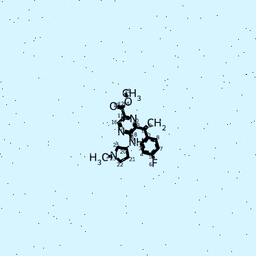 C=C(c1ccc(F)cc1)c1nc(C(=O)OC)cnc1N[C@@H]1CCN(C)C1